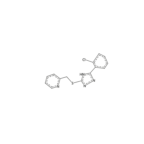 Clc1ccccc1-c1nnc(SCc2ccccn2)[nH]1